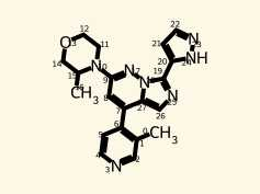 Cc1cnccc1-c1cc(N2CCOCC2C)nn2c(-c3ccn[nH]3)ncc12